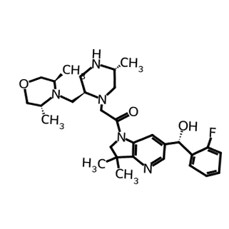 C[C@@H]1CN(CC(=O)N2CC(C)(C)c3ncc([C@H](O)c4ccccc4F)cc32)[C@@H](CN2[C@H](C)COC[C@H]2C)CN1